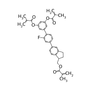 C=C(C)C(=O)OCC1CCc2cc(-c3ccc(-c4cc(OC(=O)C(=C)C)cc(OC(=O)C(=C)C)c4)c(F)c3)ccc21